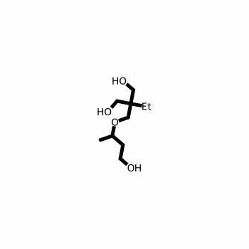 CCC(CO)(CO)COC(C)CCO